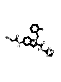 CC(C)(C)CC(=O)Nc1ccc2c(c1)cc(C(=O)Nc1nncs1)n2Cc1ccccc1F